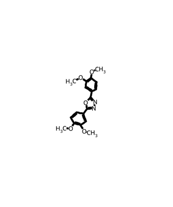 COc1ccc(-c2nnc(-c3ccc(OC)c(OC)c3)o2)cc1OC